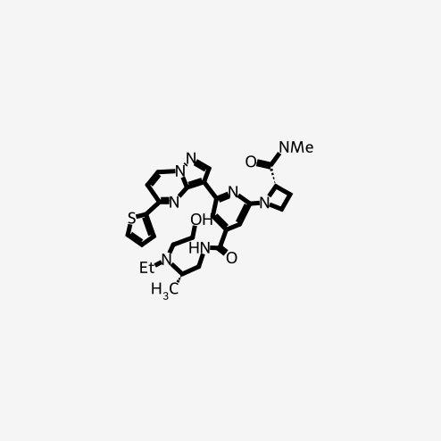 CCN(CCO)[C@@H](C)CNC(=O)c1cc(-c2cnn3ccc(-c4cccs4)nc23)nc(N2CC[C@H]2C(=O)NC)c1